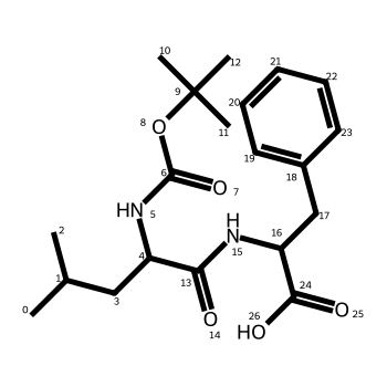 CC(C)CC(NC(=O)OC(C)(C)C)C(=O)NC(Cc1ccccc1)C(=O)O